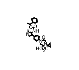 CC(OC(=O)Nc1c(-c2ccc(N3CC(=O)N(C4(C(=O)O)CC4)CC3=O)cc2)cnn1C)c1ccccc1